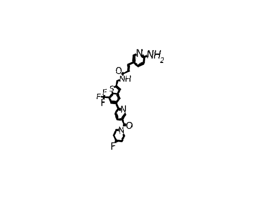 Nc1ccc(/C=C/C(=O)NCc2cc3cc(-c4ccc(C(=O)N5CCC(F)CC5)cn4)cc(C(F)(F)F)c3s2)cn1